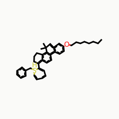 CCCCCCCCOc1ccc2c(c1)=CC(C)(C)c1c3c(ccc1=2)=C(C1=CC=CC=C[SH]1Cc1ccccc1)CCC3